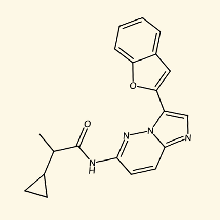 CC(C(=O)Nc1ccc2ncc(-c3cc4ccccc4o3)n2n1)C1CC1